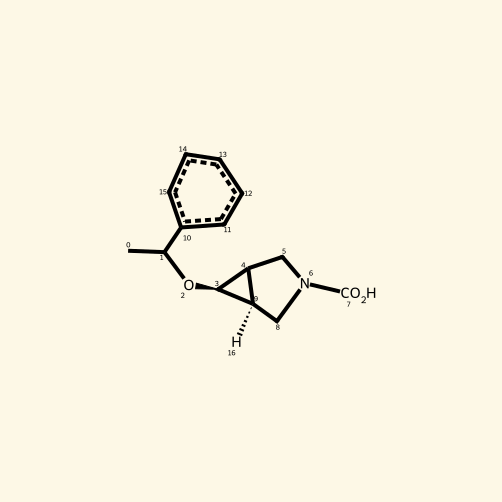 CC(O[C@H]1C2CN(C(=O)O)C[C@H]21)c1ccccc1